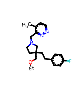 CCOCC1(CCc2ccc(F)cc2)CCN(Cc2nnccc2C)C1